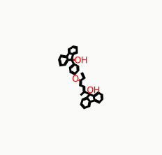 C=C/C(=C\C=C(/C)C1(O)c2ccccc2-c2ccccc21)Oc1ccc(C2(O)c3ccccc3-c3ccccc32)cc1